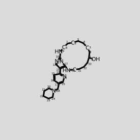 OC1CCCCCCCNc2ncc(-c3ccc(CN4CCCCC4)cn3)c(n2)NCCCC1